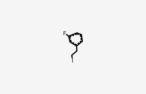 Fc1cccc(CCI)c1